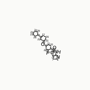 O=S(=O)(Nc1nccs1)c1ccc(Oc2cccc(-c3ccccc3)c2)cc1F